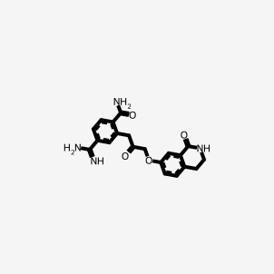 N=C(N)c1ccc(C(N)=O)c(CC(=O)COc2ccc3c(c2)C(=O)NCC3)c1